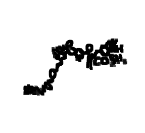 CNCCOCCOC/C=C/c1cnc2c(c1)[C@@]1(Cc3cc(C(=O)N[C@H](Cc4cc(C)c5[nH]ncc5c4)C(=O)O)cnc3C1)C(=O)N2